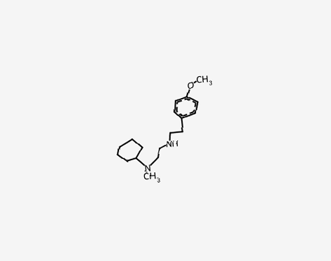 COc1ccc(CCNCCN(C)C2CCCCC2)cc1